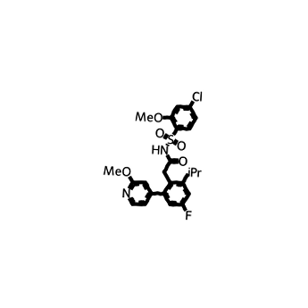 COc1cc(-c2cc(F)cc(C(C)C)c2CC(=O)NS(=O)(=O)c2ccc(Cl)cc2OC)ccn1